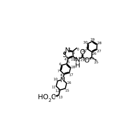 Cc1nsc(-c2ccc(N3CCC(CC(=O)O)CC3)cc2)c1NC(=O)O[C@H](C)c1ccccc1